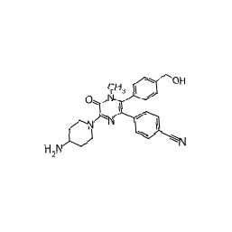 Cn1c(-c2ccc(CO)cc2)c(-c2ccc(C#N)cc2)nc(N2CCC(N)CC2)c1=O